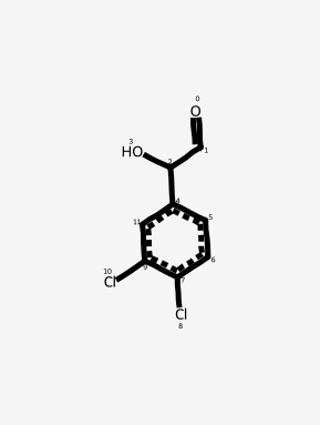 O=[C]C(O)c1ccc(Cl)c(Cl)c1